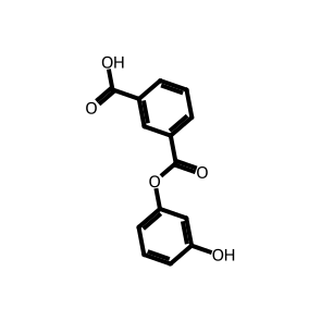 O=C(O)c1cccc(C(=O)Oc2cccc(O)c2)c1